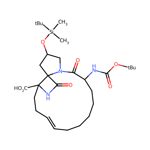 CC(C)(C)OC(=O)NC1CCCCC/C=C/CCC2(C(=O)O)NC(=O)C23CC(O[Si](C)(C)C(C)(C)C)CN3C1=O